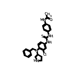 CC(=O)Nc1ccc(NC(=S)Nc2ccc(N(Cc3ccccc3)C3CCNC3)c(Cl)c2)cc1